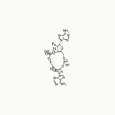 Nc1ncnc2c1ncn2[C@@H]1OC2CO[P@](=O)(S)O[C@@H]3[C@H](F)[C@@H](CO[P@](=O)(S)O[C@H]2[C@H]1F)O[C@H]3n1cnc2c(N)ncnc21